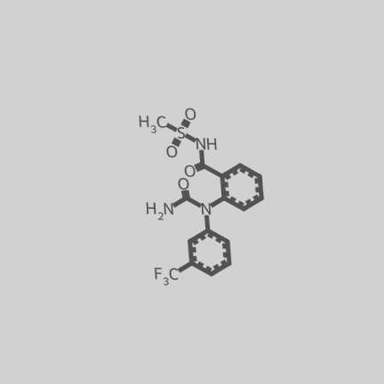 CS(=O)(=O)NC(=O)c1ccccc1N(C(N)=O)c1cccc(C(F)(F)F)c1